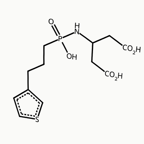 O=C(O)CC(CC(=O)O)NP(=O)(O)CCCc1ccsc1